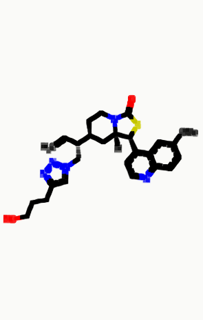 C=C[C@@H](Cn1cc(CCCO)nn1)[C@H]1CCN2C(=O)S[C@@H](c3ccnc4ccc(OC)cc34)[C@@H]2C1